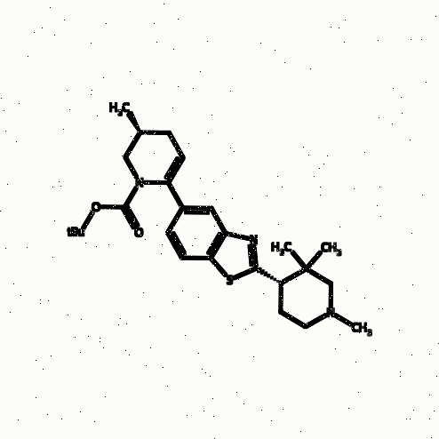 C[C@H]1CC=C(c2ccc3sc([C@H]4CCN(C)CC4(C)C)nc3c2)N(C(=O)OC(C)(C)C)C1